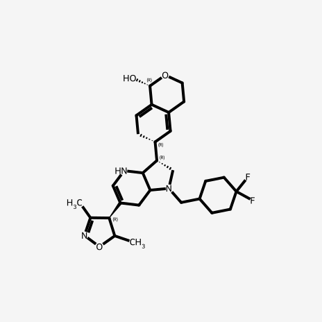 CC1=NOC(C)[C@@H]1C1=CNC2C(C1)N(CC1CCC(F)(F)CC1)C[C@H]2[C@H]1C=C2CCO[C@@H](O)C2=CC1